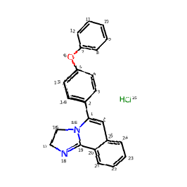 C1=C(c2ccc(Oc3ccccc3)cc2)N2CCN=C2c2ccccc21.Cl